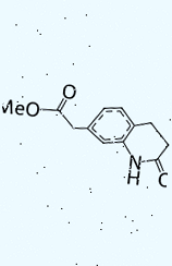 COC(=O)Cc1ccc2c(c1)NC(=O)CC2